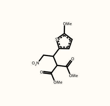 COC(=O)C(C(=O)OC)C(C[N+](=O)[O-])c1ccc(OC)s1